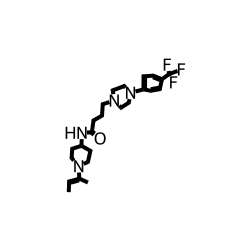 C/C=C(\C)N1CCC(NC(=O)CCCN2CCN(c3ccc(C(F)(F)F)cc3)CC2)CC1